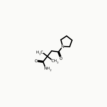 CC(C)(CC(=O)N1CCCC1)C(N)=O